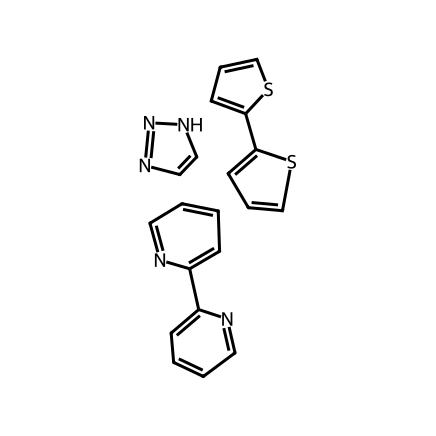 c1c[nH]nn1.c1ccc(-c2ccccn2)nc1.c1csc(-c2cccs2)c1